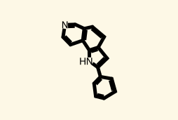 c1ccc(-c2cc3ccc4cnccc4c3[nH]2)cc1